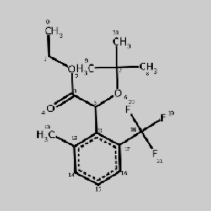 CCOC(=O)C(OC(C)(C)C)c1c(C)cccc1C(F)(F)F